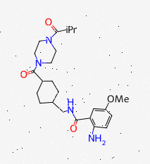 COc1ccc(N)c(C(=O)NCC2CCC(C(=O)N3CCN(C(=O)C(C)C)CC3)CC2)c1